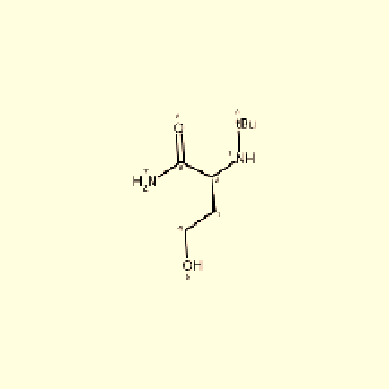 CC(C)(C)N[C@@H](CCO)C(N)=O